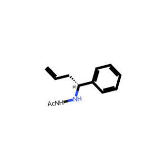 C=CC[C@@H](NNC(C)=O)c1ccccc1